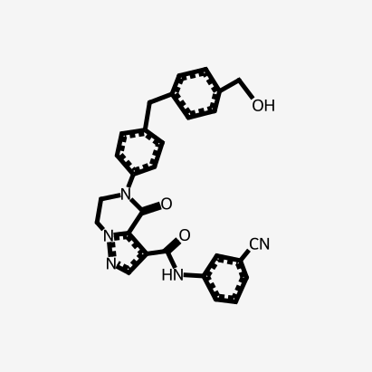 N#Cc1cccc(NC(=O)c2cnn3c2C(=O)N(c2ccc(Cc4ccc(CO)cc4)cc2)CC3)c1